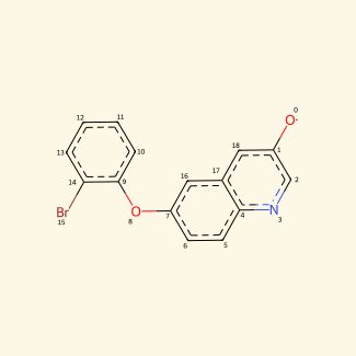 [O]c1cnc2ccc(Oc3ccccc3Br)cc2c1